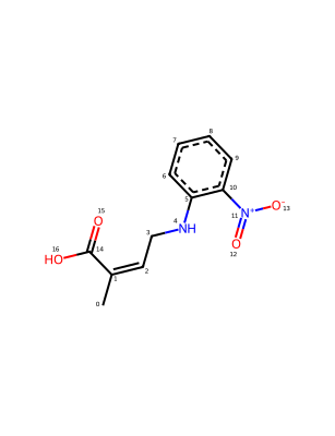 CC(=CCNc1ccccc1[N+](=O)[O-])C(=O)O